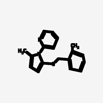 Cc1ccccc1CSc1ccc(C)n1-c1ccccn1